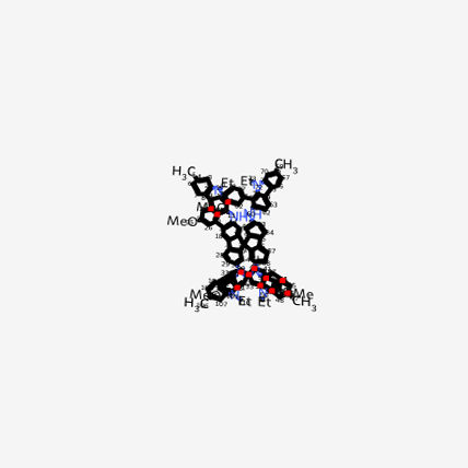 CCn1c2cc(C)ccc2c2ccc(Nc3cc4c(cc3-c3cccc(OC)c3)-c3ccc(N(c5ccc(OC)cc5)c5ccc6c7ccc(C)cc7n(CC)c6c5)cc3C43c4cc(Nc5ccc6c7ccc(C)cc7n(CC)c6c5-c5cccc(OC)c5)ccc4-c4ccc(N(c5ccc(OC)cc5)c5ccc6c7ccc(C)cc7n(CC)c6c5)cc43)cc21